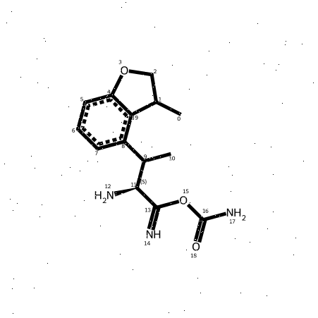 CC1COc2cccc(C(C)[C@H](N)C(=N)OC(N)=O)c21